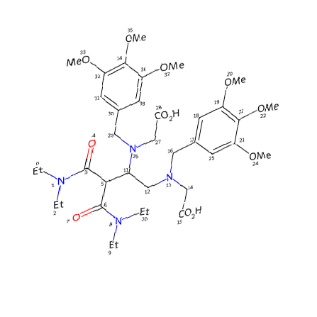 CCN(CC)C(=O)C(C(=O)N(CC)CC)C(CN(CC(=O)O)Cc1cc(OC)c(OC)c(OC)c1)N(CC(=O)O)Cc1cc(OC)c(OC)c(OC)c1